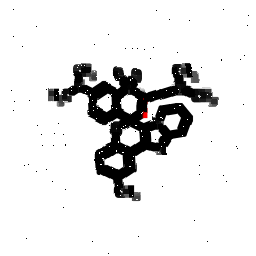 Cc1ccc2c(c1)-c1nc3ccccn3c1C1(O2)c2ccc(N(C)C)cc2S(=O)(=O)c2cc(N(C)C)ccc21